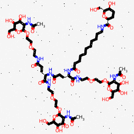 CC(=O)NC1C(OCCOCCNC(=O)CC[C@H](NC(=O)CC[C@H](NC(=O)CCCCCCCCCCNC(=O)[C@H]2CC[C@H](O)[C@@H](CO)O2)C(=O)NCCOCCOC2OC(CO)C(O)C(O)C2NC(C)=O)C(=O)NCCOCCOC2OC(CO)C(O)C(O)C2NC(C)=O)OC(CO)C(O)C1O